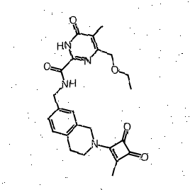 CCOCc1nc(C(=O)NCc2ccc3c(c2)CN(c2c(C)c(=O)c2=O)CC3)[nH]c(=O)c1C